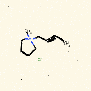 CC=CC[N+]1(C)CCCC1.[Cl-]